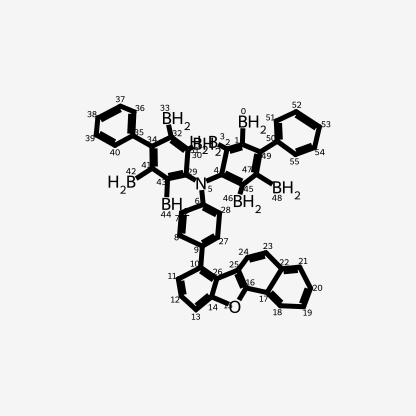 Bc1c(B)c(N(c2ccc(-c3cccc4oc5c6ccccc6ccc5c34)cc2)c2c(B)c(B)c(-c3ccccc3)c(B)c2B)c(B)c(B)c1-c1ccccc1